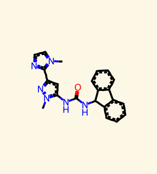 Cn1ccnc1-c1cc(NC(=O)NC2c3ccccc3-c3ccccc32)n(C)n1